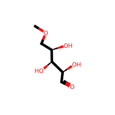 COC[C@@H](O)[C@H](O)[C@@H](O)C=O